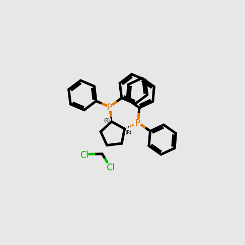 ClCCl.c1ccc(P(c2ccccc2)[C@@H]2CCC[C@H]2P(c2ccccc2)c2ccccc2)cc1